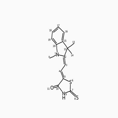 CN1C(=CC=C2SC(=S)NC2=O)C(C)(C)c2ccccc21